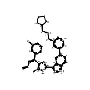 C=C/C=C(/c1cccc(F)c1)c1nc(-c2n[nH]c3ccc(-c4cncc(CNCC5CCCC5)c4)cc23)[nH]c1C